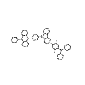 Cc1cc(N(c2ccccc2)c2ccccc2)c(C)cc1-c1ccc2c(c1)c1ccccc1n2-c1ccc(-c2c3ccccc3c(-c3ccccc3)c3ccccc23)cc1